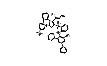 C=C/C=C(\CC)C1=C([N+](C)(CC)c2ccccc2Nc2c(-c3ccccc3)cc(-c3ccccc3)cc2C(C)C)CC2C1c1ccccc1-c1ccc([Si](C)(C)C)c[n+]12